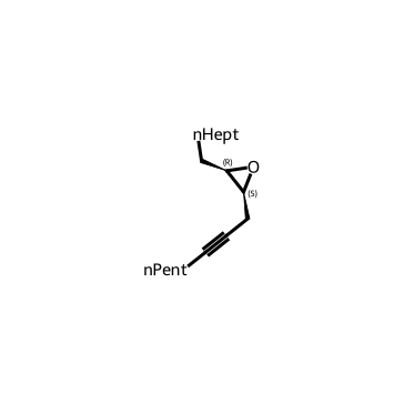 CCCCCC#CC[C@@H]1O[C@@H]1CCCCCCCC